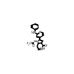 O=C1NCCc2c1cc(-c1ccnc(Nc3ccccc3)c1)n2OC(=O)C(F)(F)F